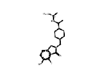 CC(N[C@H](C)C(=O)O)C1CCC(CN2Cc3ccc(O)c(F)c3C2=O)CC1